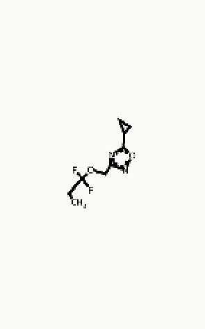 CCC(F)(F)OCc1noc(C2CC2)n1